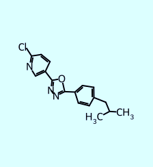 CC(C)Cc1ccc(-c2nnc(-c3ccc(Cl)nc3)o2)cc1